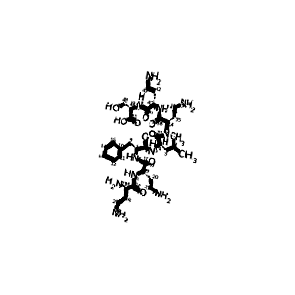 CC(C)C[C@H](NC(=O)[C@@H](Cc1ccccc1)NC(=O)[C@H](CCN)NC(=O)[C@@H](N)CCN)C(=O)N[C@@H](CCN)C(=O)N[C@@H](CCN)C(=O)N[C@@H](CO)C(=O)O